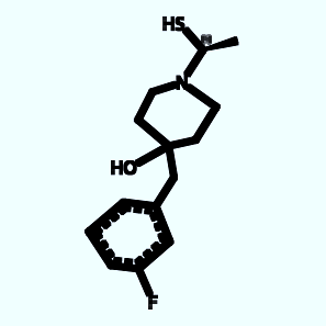 C[C@H](S)N1CCC(O)(Cc2cccc(F)c2)CC1